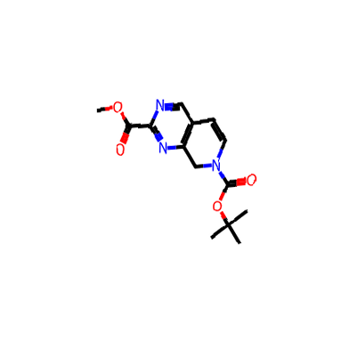 COC(=O)c1ncc2c(n1)CN(C(=O)OC(C)(C)C)C=C2